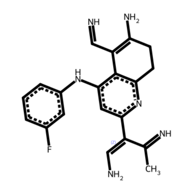 CC(=N)/C(=C\N)c1cc(Nc2cccc(F)c2)c2c(n1)CCC(N)=C2C=N